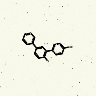 Oc1ccc(-c2cc(-c3ccccc3)ccc2F)cc1